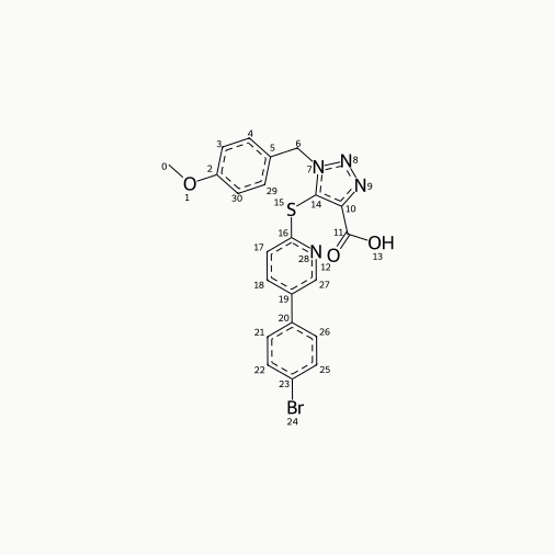 COc1ccc(Cn2nnc(C(=O)O)c2Sc2ccc(-c3ccc(Br)cc3)cn2)cc1